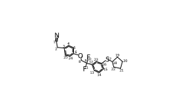 N#CCc1ccc(OCC(F)(F)c2cccc(SC3CCCC3)c2)cc1